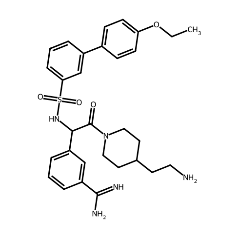 CCOc1ccc(-c2cccc(S(=O)(=O)NC(C(=O)N3CCC(CCN)CC3)c3cccc(C(=N)N)c3)c2)cc1